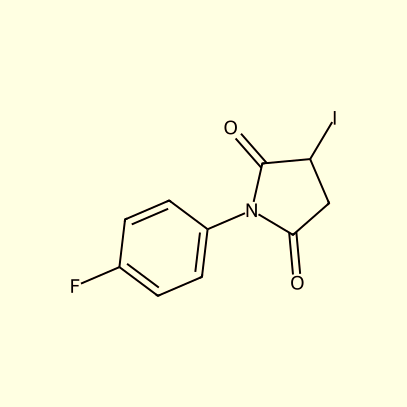 O=C1CC(I)C(=O)N1c1ccc(F)cc1